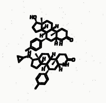 Cc1ccc([C@H]2C[C@H]3NC(=O)CC[C@]3(C)[C@H]3CC[C@]4(C)[C@@H](NC5CC5)CC[C@H]4[C@H]23)cc1.Cc1ccc([C@H]2C[C@H]3NC(=O)CC[C@]3(C)[C@H]3CC[C@]4(C)[C@@H](O)CC[C@H]4[C@H]23)cc1